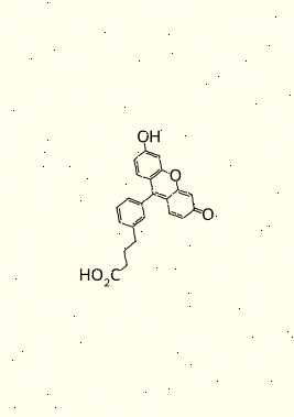 O=C(O)CCCc1cccc(-c2c3ccc(=O)cc-3oc3cc(O)ccc23)c1